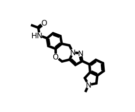 CC(=O)Nc1ccc2c(c1)OCc1cc(-c3cccc4c3CN(C)C4)nn1C2